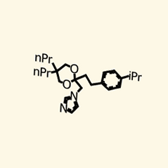 CCCC1(CCC)COC(CCc2ccc(C(C)C)cc2)(Cn2ccnc2)OC1